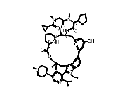 CCn1c(-c2cc(C3CCN(C)CC3)cnc2C(C)C)c2c3cc(ccc31)-c1cc(O)cc(c1)C[C@H](NC(=O)[C@H](C1CCCC1)N(C)C(=O)CN(C)C(=O)C1CC1)C(=O)N1CCC[C@H](N1)C(=O)OCC(C)(C)C2